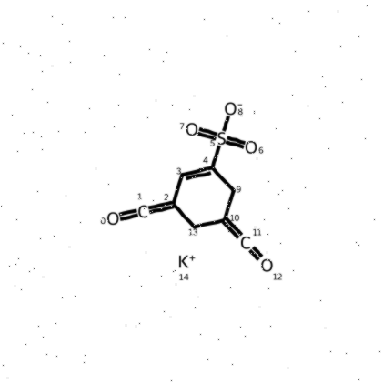 O=C=C1C=C(S(=O)(=O)[O-])CC(=C=O)C1.[K+]